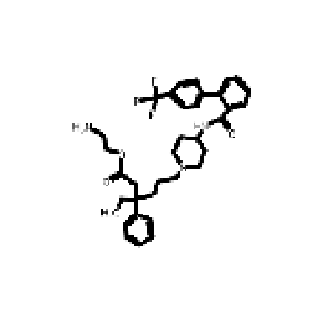 CCC(CCCN1CCC(NC(=O)c2ccccc2-c2ccc(C(F)(F)F)cc2)CC1)(CC(=O)OCCN)c1ccccc1